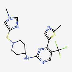 Cc1ncc(-c2nc(NC3CCN(Sc4cn(C)cn4)CC3)ncc2C(F)(F)F)s1